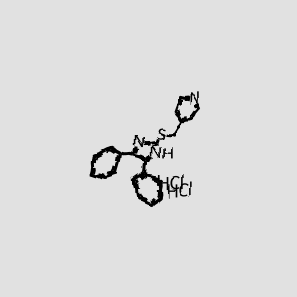 Cl.Cl.c1ccc(-c2nc(SCc3ccncc3)[nH]c2-c2ccccc2)cc1